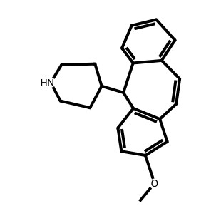 COc1ccc2c(c1)C=Cc1ccccc1C2C1CCNCC1